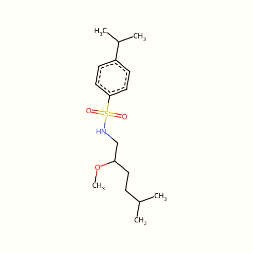 COC(CCC(C)C)CNS(=O)(=O)c1ccc(C(C)C)cc1